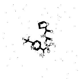 CC(c1ccc(C(F)(F)F)nc1)S(C)(=O)=NC(=S)NC(=O)C1CC=CO1